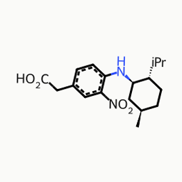 CC(C)[C@@H]1CC[C@@H](C)C[C@H]1Nc1ccc(CC(=O)O)cc1[N+](=O)[O-]